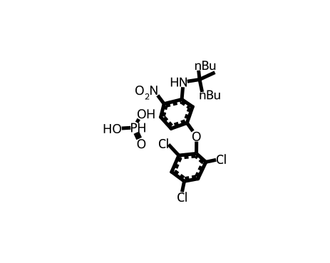 CCCCC(C)(CCCC)Nc1cc(Oc2c(Cl)cc(Cl)cc2Cl)ccc1[N+](=O)[O-].O=[PH](O)O